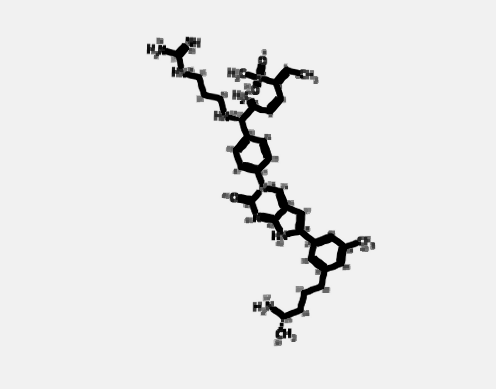 C=C(/C=C\C(=C/C)S(C)(=O)=O)[C@H](NCCCNC(=N)N)c1ccc(-n2cc3cc(-c4cc(CCC[C@H](C)N)cc(C(F)(F)F)c4)[nH]c3nc2=O)cc1